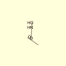 CCCCCCCCC(CCC)OC(=O)CCCCCCCNCCCO